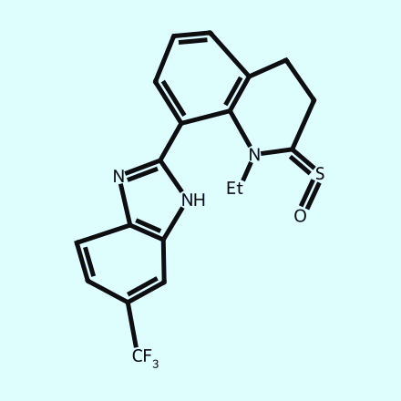 CCN1C(=S=O)CCc2cccc(-c3nc4ccc(C(F)(F)F)cc4[nH]3)c21